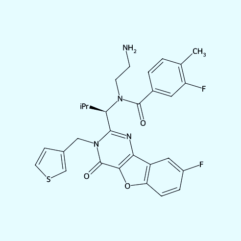 Cc1ccc(C(=O)N(CCN)[C@@H](c2nc3c(oc4ccc(F)cc43)c(=O)n2Cc2ccsc2)C(C)C)cc1F